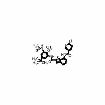 COc1c(NC(=O)c2cc3cccc(NC(=O)c4ccc(Cl)nc4)c3s2)cc(C(C)(C)C)cc1N[S+](C)[O-]